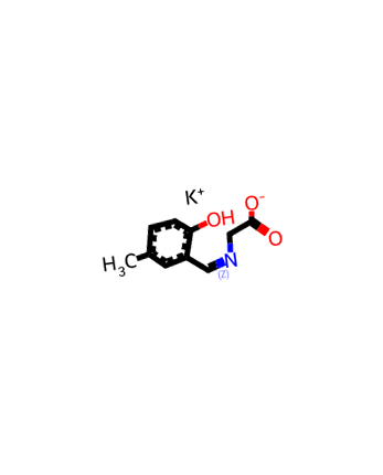 Cc1ccc(O)c(/C=N\CC(=O)[O-])c1.[K+]